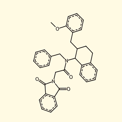 COc1ccccc1CC1CCc2ccccc2C1N(Cc1ccccc1)C(=O)CN1C(=O)c2ccccc2C1=O